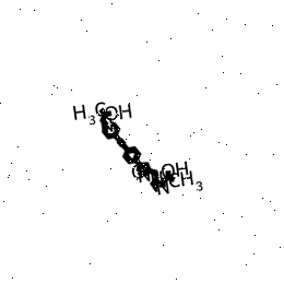 CC(O)CN1CCC(C#Cc2ccc(-c3cc(Cn4ccnc4C(C)O)no3)cc2)CC1